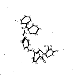 O=C1CCC(N2Cc3c(SCc4ccc(CCNC(C5CCCCC5)C5CCCCC5)cc4)cccc3C2=O)C(=O)N1